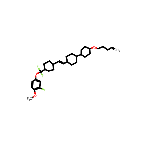 C=CCCCOC1CCC(C2CCC(/C=C/C3CCC(C(F)(F)Oc4ccc(OC(F)(F)F)c(F)c4)CC3)CC2)CC1